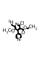 [2H]Cc1nc(Cl)c(C(=O)OCC)c(-c2ccncc2)c1OC